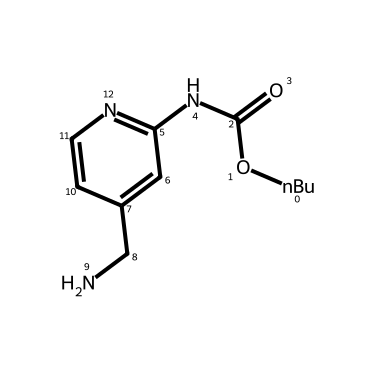 CCCCOC(=O)Nc1cc(CN)ccn1